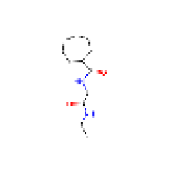 CCNC(=O)CNC(=O)C1CCCCCC1